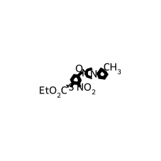 CCOC(=O)CSc1ccc(C(=O)N2CCN(c3cccc(C)c3)CC2)cc1[N+](=O)[O-]